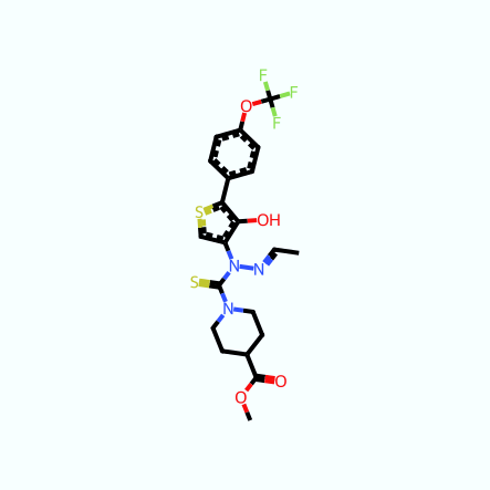 CC=NN(C(=S)N1CCC(C(=O)OC)CC1)c1csc(-c2ccc(OC(F)(F)F)cc2)c1O